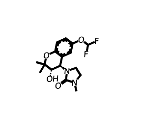 CN1CCN([C@@H]2c3cc(OC(F)F)ccc3OC(C)(C)[C@H]2O)C1=O